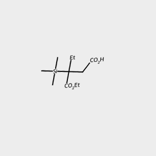 CCOC(=O)C(CC)(CC(=O)O)[Si](C)(C)C